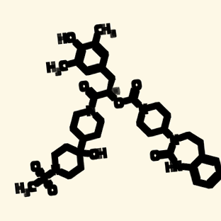 Cc1cc(C[C@@H](OC(=O)N2CCC(N3CCc4ccccc4NC3=O)CC2)C(=O)N2CCC(C3(O)CCN(S(C)(=O)=O)CC3)CC2)cc(C)c1O